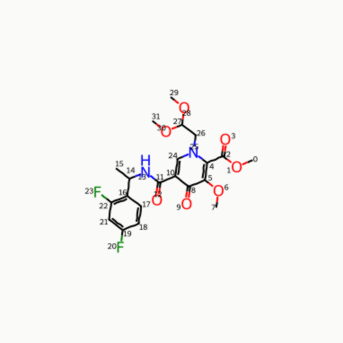 COC(=O)c1c(OC)c(=O)c(C(=O)NC(C)c2ccc(F)cc2F)cn1CC(OC)OC